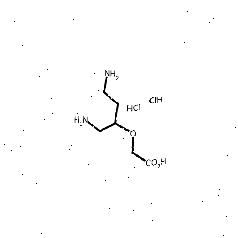 Cl.Cl.NCCC(CN)OCC(=O)O